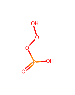 O=[P](O)OOO